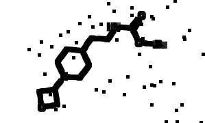 CC(C)(C)OC(=O)NCCC1CCN(C2COC2)CC1